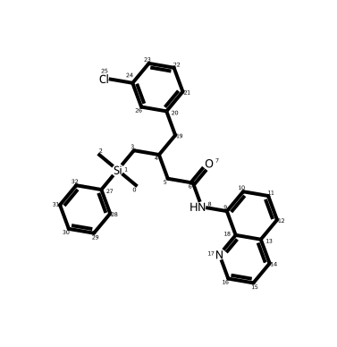 C[Si](C)(CC(CC(=O)Nc1cccc2cccnc12)Cc1cccc(Cl)c1)c1ccccc1